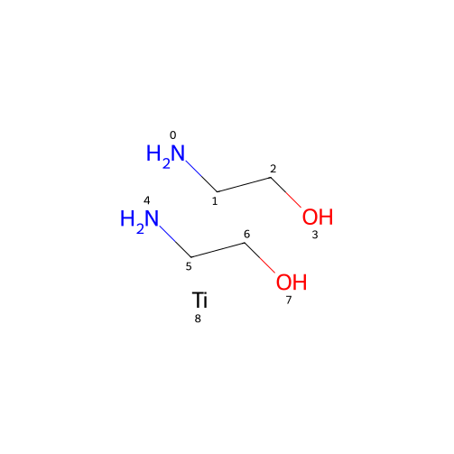 NCCO.NCCO.[Ti]